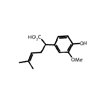 COc1cc(C(CC=C(C)C)C(=O)O)ccc1O